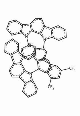 N#Cc1c(-n2c3ccccc3c3ccc4c5ccccc5n(-c5ccccc5)c4c32)cc(-c2cc(C(F)(F)F)cc(C(F)(F)F)c2)cc1-n1c2ccccc2c2ccc3c4ccccc4n(-c4ccccc4)c3c21